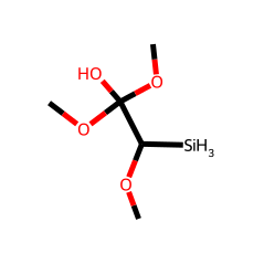 COC([SiH3])C(O)(OC)OC